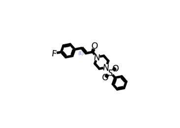 O=C(/C=C/c1ccc(F)cc1)N1CCN(S(=O)(=O)c2ccccc2)CC1